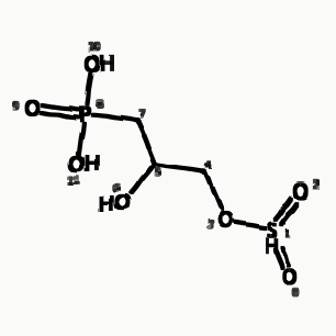 O=[SH](=O)OCC(O)CP(=O)(O)O